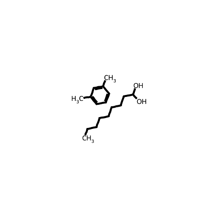 CCCCCCCCC(O)O.Cc1cccc(C)c1